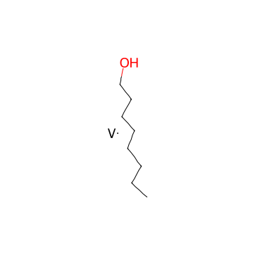 CCCCCCCCO.[V]